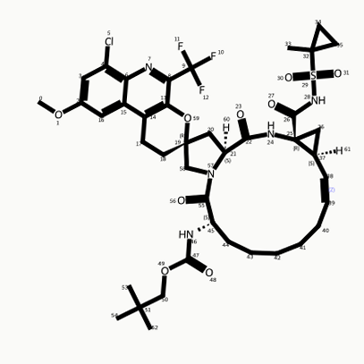 COc1cc(Cl)c2nc(C(F)(F)F)c3c(c2c1)CC[C@]1(C[C@H]2C(=O)N[C@]4(C(=O)NS(=O)(=O)C5(C)CC5)C[C@H]4/C=C\CCCCC[C@H](NC(=O)OCC(C)(C)C)C(=O)N2C1)O3